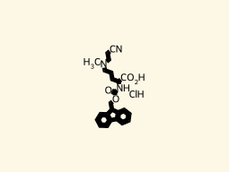 CN(CCC#N)CCCC(NC(=O)OCC1c2ccccc2-c2ccccc21)C(=O)O.Cl